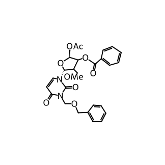 COC1C(OC(=O)c2ccccc2)[C@H](OC(C)=O)O[C@H]1n1ccc(=O)n(COCc2ccccc2)c1=O